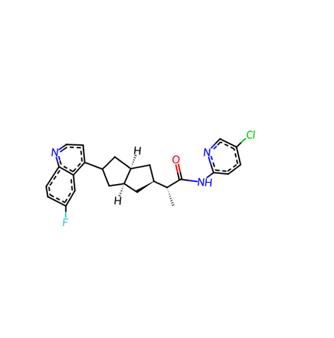 C[C@@H](C(=O)Nc1ccc(Cl)cn1)[C@H]1C[C@H]2CC(c3ccnc4ccc(F)cc34)C[C@H]2C1